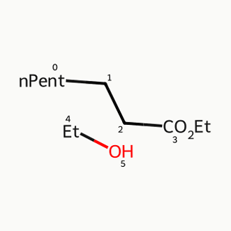 CCCCCCCC(=O)OCC.CCO